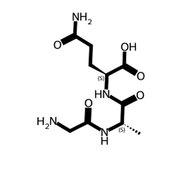 C[C@H](NC(=O)CN)C(=O)N[C@@H](CCC(N)=O)C(=O)O